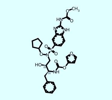 COC(=O)Nc1nc2cc(S(=O)(=O)N(C[C@H](O)[C@H](Cc3ccccc3)NC(=O)Oc3ccoc3)OC3CCCC3)ccc2[nH]1